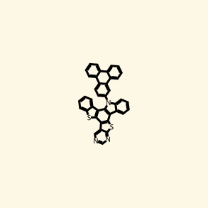 c1ccc2c(c1)sc1c3c4cncnc4sc3c3c4ccccc4n(-c4ccc5c6ccccc6c6ccccc6c5c4)c3c21